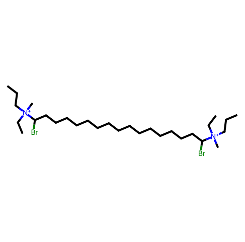 CCC[N+](C)(CC)C(Br)CCCCCCCCCCCCCCCC(Br)[N+](C)(CC)CCC